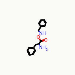 N[C@@H](Cc1ccccc1)C(=O)ONCc1ccccc1